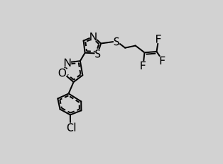 FC(F)=C(F)CCSc1ncc(-c2cc(-c3ccc(Cl)cc3)on2)s1